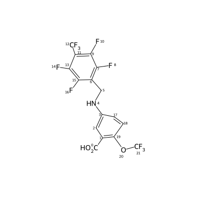 O=C(O)c1cc(NCc2c(F)c(F)c(C(F)(F)F)c(F)c2F)ccc1OC(F)(F)F